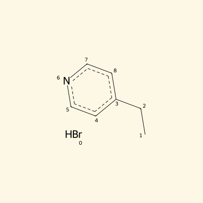 Br.CCc1ccncc1